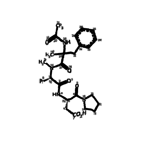 CC(C)[C@@H](C(=O)N[C@@H](CC(=O)O)C(=O)N1CCCC1)N(C)C(=O)C(C)(Cc1ccccc1)NC(=O)C(F)(F)F